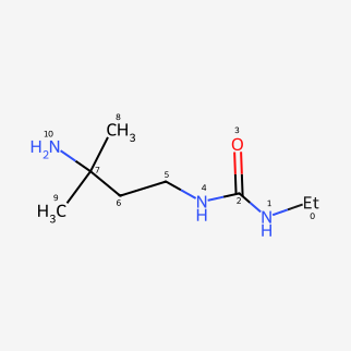 CCNC(=O)NCCC(C)(C)N